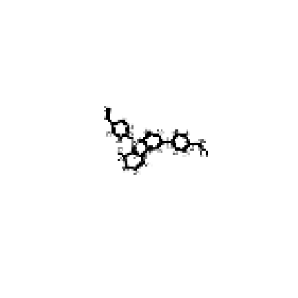 C=Cc1ccc(-n2c3c(c4cc(-c5ccc(C=O)cc5)ccc42)C=CCC3C)cc1